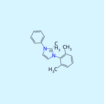 Cc1cccc(C)c1N1C=CN(c2ccccc2)[C@@H]1C